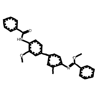 CO/C(=N\c1ccc(-c2ccc(NC(=O)c3ccccc3)c(OC)c2)cc1C)c1ccccc1